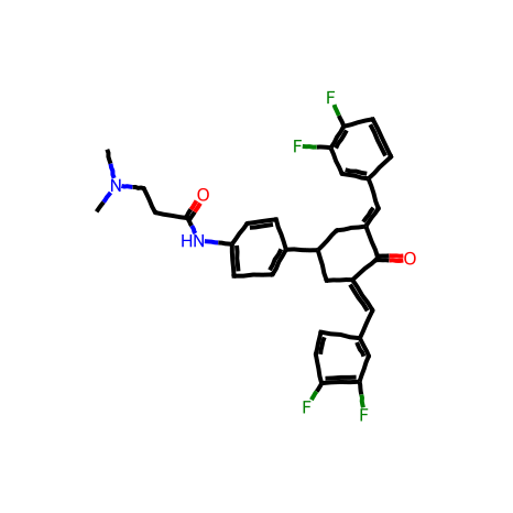 CN(C)CCC(=O)Nc1ccc(C2CC(=Cc3ccc(F)c(F)c3)C(=O)C(=Cc3ccc(F)c(F)c3)C2)cc1